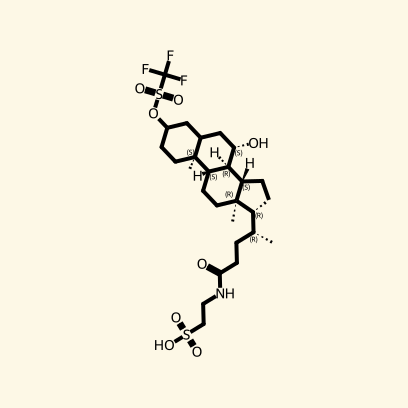 C[C@H](CCC(=O)NCCS(=O)(=O)O)[C@H]1CC[C@H]2[C@@H]3[C@@H](O)CC4CC(OS(=O)(=O)C(F)(F)F)CC[C@]4(C)[C@H]3CC[C@]12C